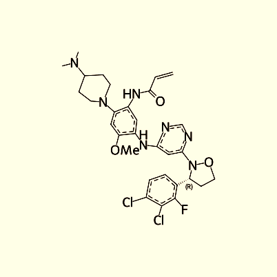 C=CC(=O)Nc1cc(Nc2cc(N3OCC[C@@H]3c3ccc(Cl)c(Cl)c3F)ncn2)c(OC)cc1N1CCC(N(C)C)CC1